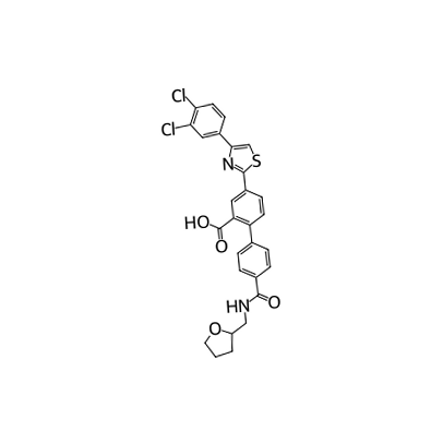 O=C(NCC1CCCO1)c1ccc(-c2ccc(-c3nc(-c4ccc(Cl)c(Cl)c4)cs3)cc2C(=O)O)cc1